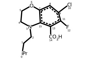 CC(C)CCN1CCOc2cc(Cl)c(F)c(C(=O)O)c21